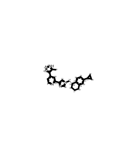 Cc1[nH]nnc1-c1ccnc(-c2cn(C[C@H]3CCCc4cc(C5CC5)ccc43)cn2)c1